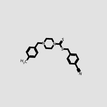 Cc1ccc(CN2CCN(C(=S)SCc3ccc(C#N)cc3)CC2)cc1